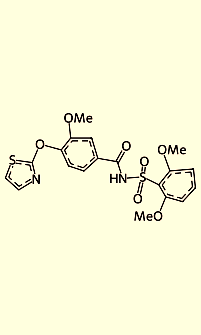 COc1cc(C(=O)NS(=O)(=O)c2c(OC)cccc2OC)ccc1Oc1nccs1